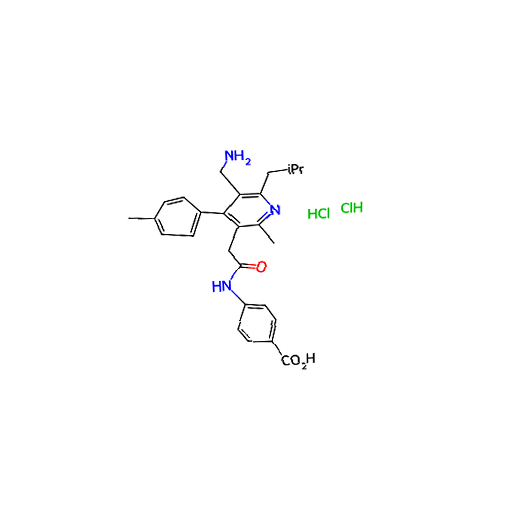 Cc1ccc(-c2c(CC(=O)Nc3ccc(C(=O)O)cc3)c(C)nc(CC(C)C)c2CN)cc1.Cl.Cl